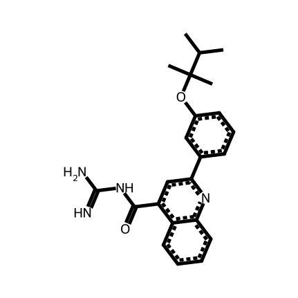 CC(C)C(C)(C)Oc1cccc(-c2cc(C(=O)NC(=N)N)c3ccccc3n2)c1